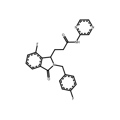 O=C(CCC1c2c(F)cccc2C(=O)N1Cc1ccc(F)cc1)Nc1cnccn1